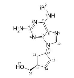 CC(C)Nc1nc(N)nc2c1ncn2C1C=C[C@@H](CO)C1